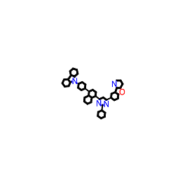 c1ccc(-c2nc(-c3ccc4oc5cccnc5c4c3)cc(-c3ccc(-c4ccc(-n5c6ccccc6c6ccccc65)cc4)c4ccccc34)n2)cc1